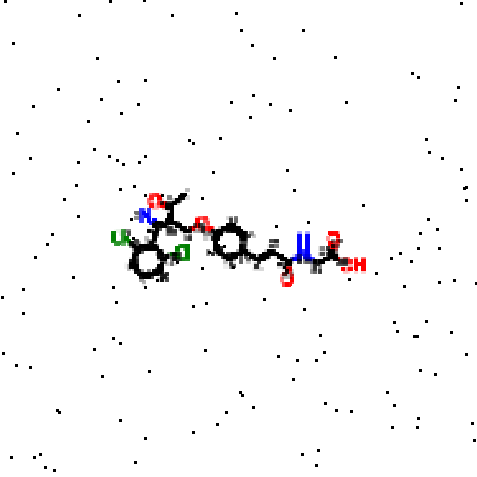 Cc1onc(-c2c(Cl)cccc2Cl)c1COc1ccc(/C=C/C(=O)NCC(=O)O)cc1